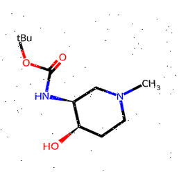 CN1CC[C@@H](O)[C@@H](NC(=O)OC(C)(C)C)C1